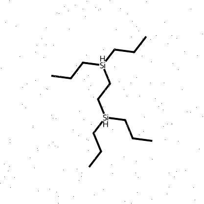 CCC[SiH](CCC)CC[SiH](CCC)CCC